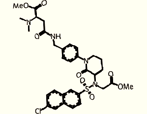 COC(=O)CN(C1CCCN(c2ccc(CNC(=O)CC(C(=O)OC)N(C)C)cc2)C1=O)S(=O)(=O)c1ccc2cc(Cl)ccc2c1